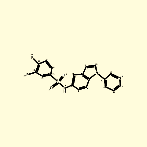 O=S(=O)(Nc1ccc2c(ccn2-c2cccnc2)c1)c1ccc(F)c(F)c1